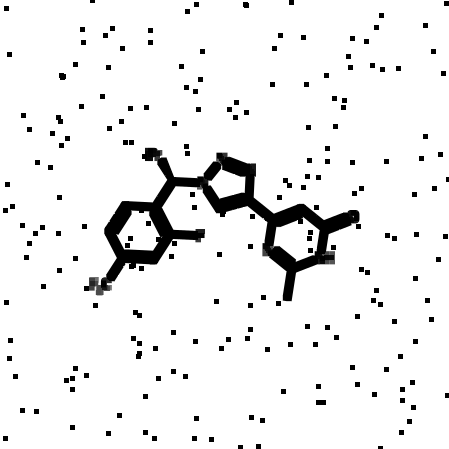 Cc1nc(-c2cn([C@@H](c3ccc(C(F)(F)F)cc3F)C(C)C)nn2)cc(=O)[nH]1